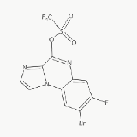 O=S(=O)(Oc1nc2cc(F)c(Br)cc2n2ccnc12)C(F)(F)F